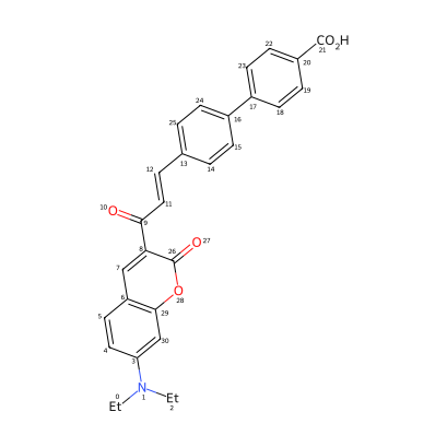 CCN(CC)c1ccc2cc(C(=O)C=Cc3ccc(-c4ccc(C(=O)O)cc4)cc3)c(=O)oc2c1